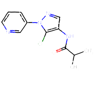 CC(C)C(=O)Nc1cnn(-c2cccnc2)c1Cl